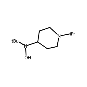 CC(C)N1CCC(N(O)C(C)(C)C)CC1